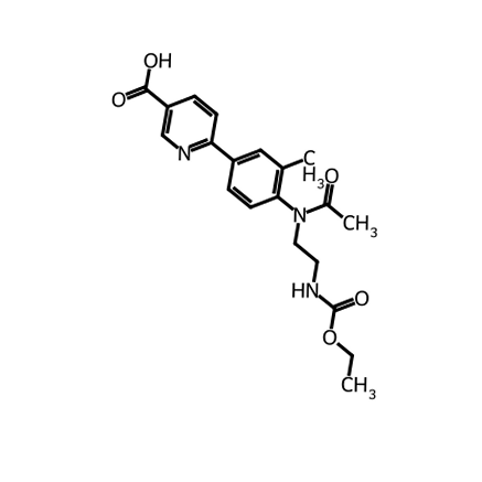 CCOC(=O)NCCN(C(C)=O)c1ccc(-c2ccc(C(=O)O)cn2)cc1C